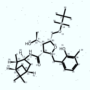 C[C@@H]1[C@@H](NC(=O)[C@@H]2[C@H]([C@H](C)O)[C@H](CO[Si](C)(C)C(C)(C)C)ON2Cc2cccc(I)c2O)C[C@H]2C[C@@H]1C2(C)C